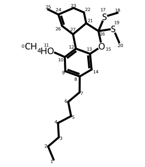 C.CCCCCCCc1cc(O)c2c(c1)OC(SC)(SC)C1CCC(C)=CC21